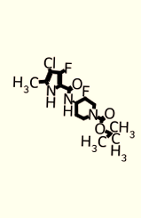 Cc1[nH]c(C(=O)N[C@@H]2CCN(C(=O)OC(C)(C)C)C[C@@H]2F)c(F)c1Cl